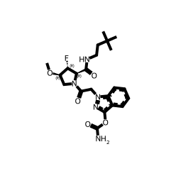 CO[C@@H]1CN(C(=O)Cn2nc(OC(N)=O)c3ccccc32)[C@H](C(=O)NCCC(C)(C)C)[C@H]1F